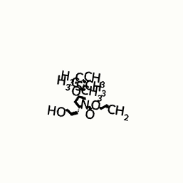 C=CCOC(=O)N1C[C@H](O[Si](C)(C)C(C)(C)C)C[C@H]1/C=C\CO